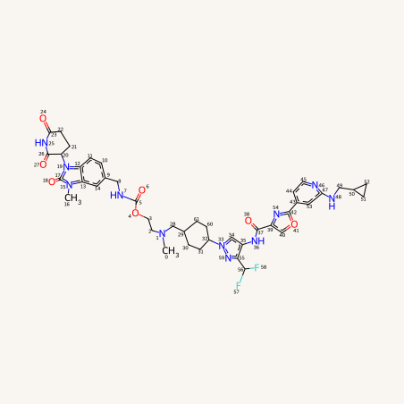 CN(CCOC(=O)NCc1ccc2c(c1)n(C)c(=O)n2C1CCC(=O)NC1=O)CC1CCC(n2cc(NC(=O)c3coc(-c4ccnc(NCC5CC5)c4)n3)c(C(F)F)n2)CC1